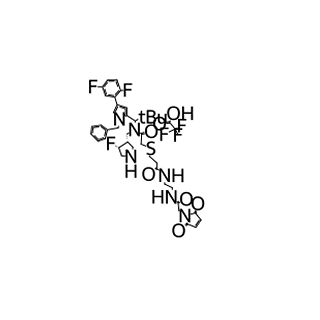 CC(C)(C)C(c1cc(-c2cc(F)ccc2F)cn1Cc1ccccc1)N(C[C@@H]1CNC[C@@H]1F)C(=O)CSCCC(=O)NCCNC(=O)CN1C(=O)C=CC1=O.O=C(O)C(F)(F)F